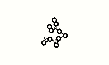 c1ccc(-c2ccc3c(c2)c2ccccc2n3-c2ccc3oc4ccccc4c3c2)c(-c2ccc(N(c3ccc4ccccc4c3)c3cccc4ccccc34)cc2)c1